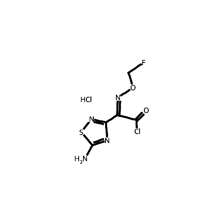 Cl.Nc1nc(C(=NOCF)C(=O)Cl)ns1